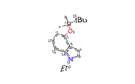 [CH2]Cn1ccc2c(O[Si](C)(C)C(C)(C)C)cccc21